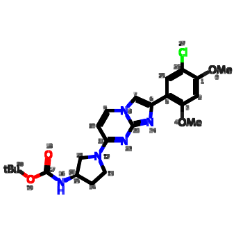 COc1cc(OC)c(-c2cn3ccc(N4CC[C@@H](NC(=O)OC(C)(C)C)C4)nc3n2)cc1Cl